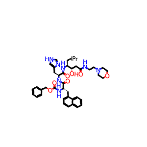 CC(C)C[C@H](NC(=O)[C@H](Cc1c[nH]cn1)NC(=O)[C@H](Cc1cccc2ccccc12)NC(=O)OCc1ccccc1)[C@@H](O)CC(=O)NCCN1CCOCC1